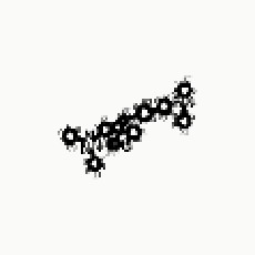 c1ccc(-c2nc(-c3ccccc3)nc(-c3ccc4c(c3)C3(c5ccccc5Oc5ccccc53)c3cc(-c5ccc(-c6ccc(-n7c(-c8ccccc8)nc8ccccc87)cc6)cc5)ccc3-4)n2)cc1